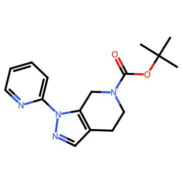 CC(C)(C)OC(=O)N1CCc2cnn(-c3ccccn3)c2C1